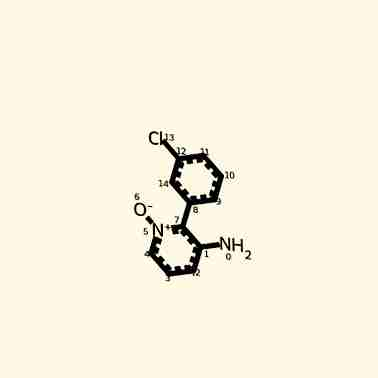 Nc1[c]cc[n+]([O-])c1-c1cccc(Cl)c1